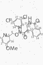 COc1ccnc(CONC(=O)[C@@H]2c3ccccc3C(=O)N[C@H]2c2ccc(Cl)cc2Cl)c1